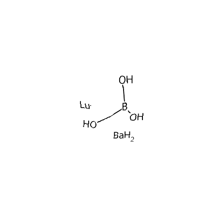 OB(O)O.[BaH2].[Lu]